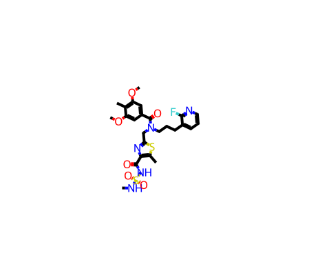 CNS(=O)(=O)NC(=O)c1nc(CN(CCCc2cccnc2F)C(=O)c2cc(OC)c(C)c(OC)c2)sc1C